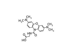 CN(C)c1ccc2c(c1)Oc1cc(N(C)C)ccc1N2C(=O)NCC(=O)O